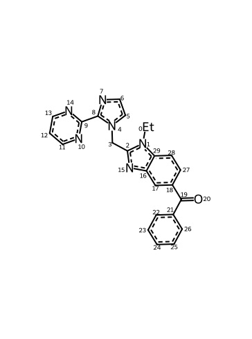 CCn1c(Cn2ccnc2-c2ncccn2)nc2cc(C(=O)c3ccccc3)ccc21